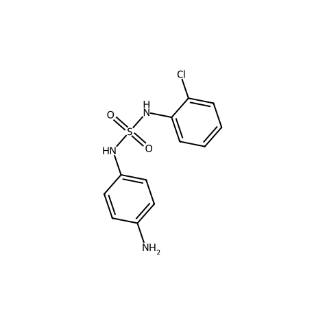 Nc1ccc(NS(=O)(=O)Nc2ccccc2Cl)cc1